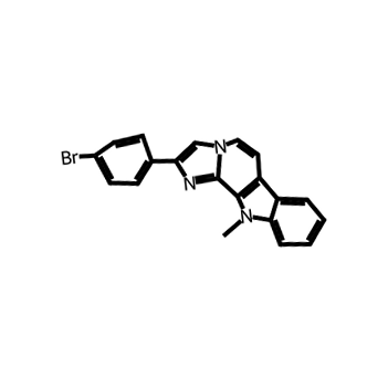 Cn1c2ccccc2c2ccn3cc(-c4ccc(Br)cc4)nc3c21